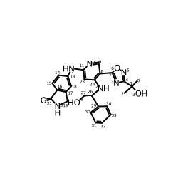 CC(C)(O)c1noc(-c2cnc(Nc3ccc4c(c3)CNC4=O)cc2N[C@H](CO)c2ccccc2)n1